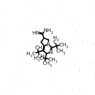 CC(C)(C)C1=NC(C(C)(C)C)C(C(C)(C)C)=C2CC(C(=N)N)CN12